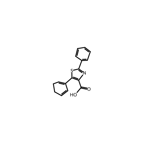 O=C(O)c1nc(-c2ccccc2)sc1C1=CCCC=C1